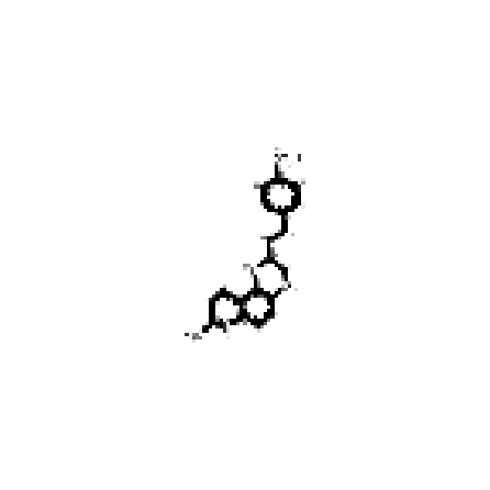 Cc1ccc2c3c(ccc2n1)OCC(CCc1ccc(S(=O)(=O)O)cc1)O3